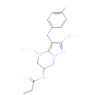 C=CC(=O)NC1CN(C(=O)O)c2c(Cc3ccc(C(F)(F)F)cc3)c(C(C)(C)C)nn2C1